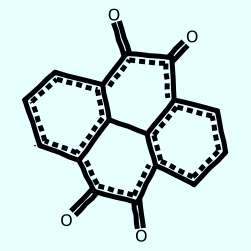 O=c1c(=O)c2cccc3c2-c2c1[c]ccc2c(=O)c3=O